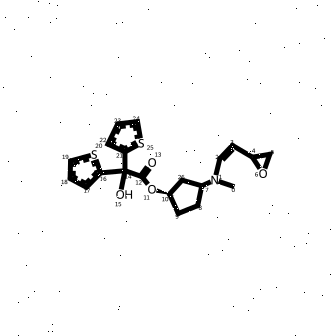 CN(/C=C\C1CO1)C1CC[C@@H](OC(=O)C(O)(c2cccs2)c2cccs2)C1